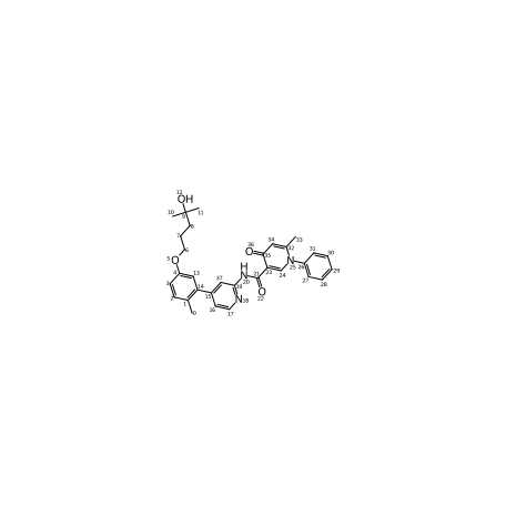 Cc1ccc(OCCCC(C)(C)O)cc1-c1ccnc(NC(=O)c2cn(-c3ccccc3)c(C)cc2=O)c1